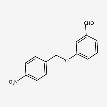 O=Cc1cccc(OCc2ccc([N+](=O)[O-])cc2)c1